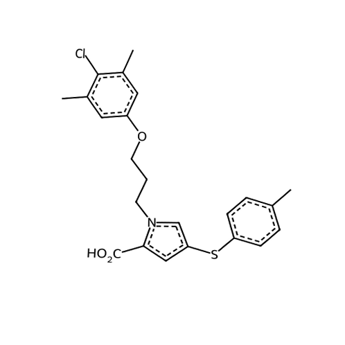 Cc1ccc(Sc2cc(C(=O)O)n(CCCOc3cc(C)c(Cl)c(C)c3)c2)cc1